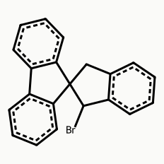 BrC1c2ccccc2CC12c1ccccc1-c1ccccc12